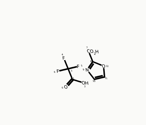 O=C(O)C(F)(F)F.O=C(O)c1ncco1